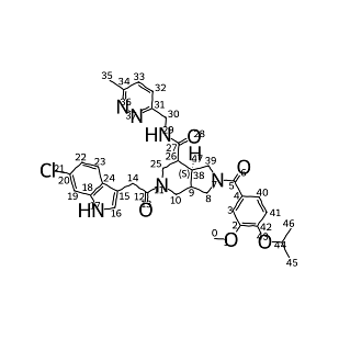 COc1cc(C(=O)N2CC3CN(C(=O)Cc4c[nH]c5cc(Cl)ccc45)CC(C(=O)NCc4ccc(C)nn4)[C@H]3C2)ccc1OC(C)C